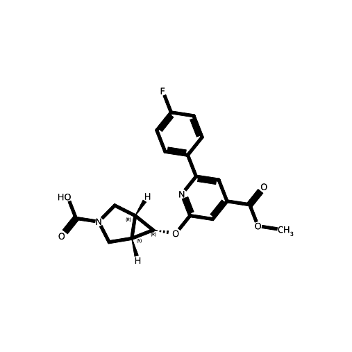 COC(=O)c1cc(O[C@@H]2[C@@H]3CN(C(=O)O)C[C@@H]32)nc(-c2ccc(F)cc2)c1